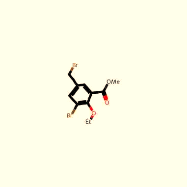 CCOc1c(Br)cc(CBr)cc1C(=O)OC